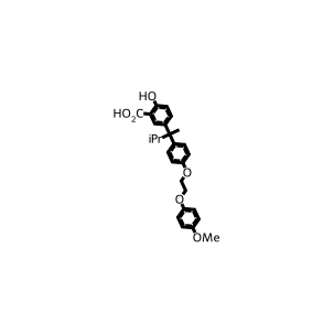 COc1ccc(OCCOc2ccc(C(C)(c3ccc(O)c(C(=O)O)c3)C(C)C)cc2)cc1